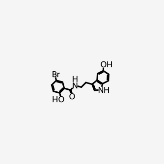 O=C(NCCc1c[nH]c2ccc(O)cc12)c1cc(Br)ccc1O